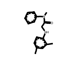 Cc1ccc(NCC(=O)N(C)c2ccccc2)c(C)c1